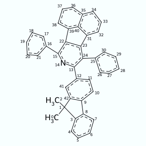 CC1(C)c2ccccc2-c2ccc(-c3nc(-c4ccccc4)c4c(c3-c3ccccc3)-c3cccc5cccc-4c35)cc21